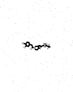 O=C(Cc1ccc(Cl)c(Cl)c1)N1CCc2sc(-c3noc(C(F)(F)F)n3)cc2C1